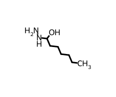 CCCCCCC(O)NN